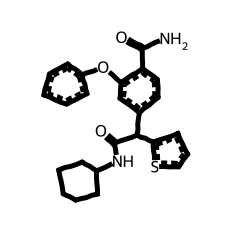 NC(=O)c1ccc(C(C(=O)NC2CCCCC2)c2cccs2)cc1Oc1ccccc1